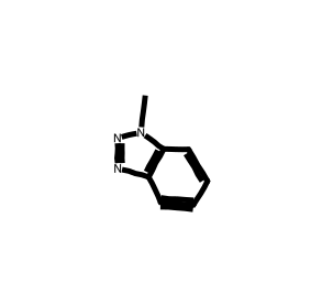 Cn1nnc2c#cccc21